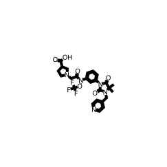 CC1(C)C(=O)N(c2cccc(N(OC(F)(F)F)C(=O)CN3CCC(C(=O)O)C3)c2)C(=O)N1Cc1ccncc1